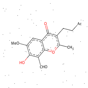 COc1cc2c(=O)c(CCC(C)=O)c(C)oc2c(C=O)c1O